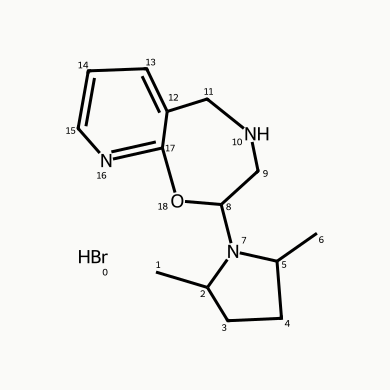 Br.CC1CCC(C)N1C1CNCc2cccnc2O1